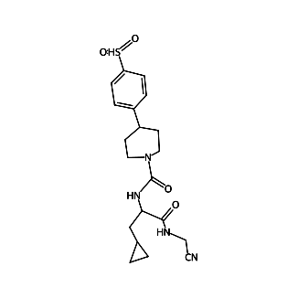 N#CCNC(=O)C(CC1CC1)NC(=O)N1CCC(c2ccc([SH](=O)=O)cc2)CC1